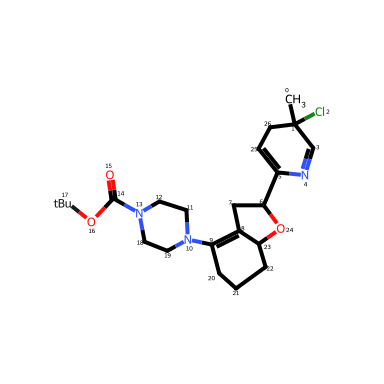 CC1(Cl)C=NC(C2CC3=C(N4CCN(C(=O)OC(C)(C)C)CC4)CCCC3O2)=CC1